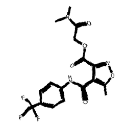 Cc1onc(C(=O)OCC(=O)N(C)C)c1C(=O)Nc1ccc(C(F)(F)F)cc1